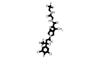 Cc1c(C(=O)NCC(=O)NCC(F)(F)F)sc2c1CN(C1=NOC(c3cc(Cl)c(F)c(Cl)c3)(C(F)(F)F)C1)C2